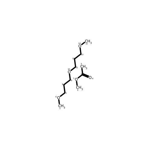 COC(C)=O.COCCCOCCCOC